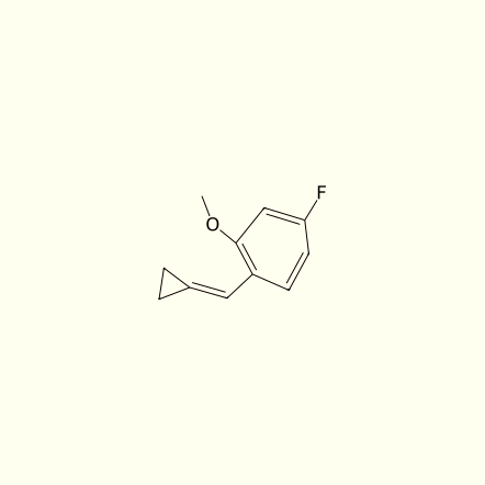 COc1cc(F)ccc1C=C1CC1